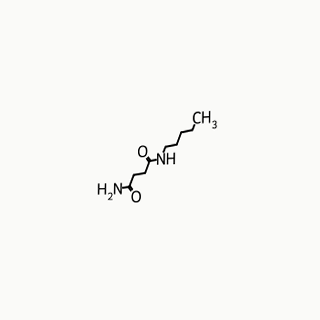 CCCCCNC(=O)CCC(N)=O